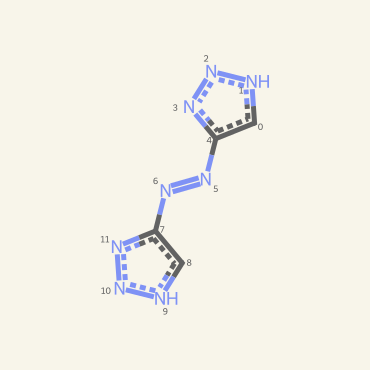 c1[nH]nnc1/N=N/c1c[nH]nn1